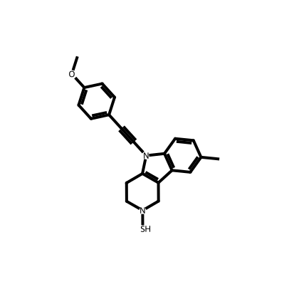 COc1ccc(C#Cn2c3c(c4cc(C)ccc42)CN(S)CC3)cc1